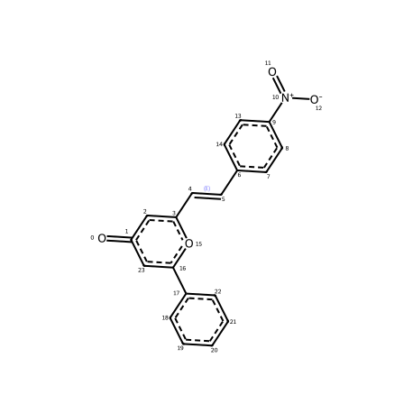 O=c1cc(/C=C/c2ccc([N+](=O)[O-])cc2)oc(-c2ccccc2)c1